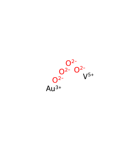 [Au+3].[O-2].[O-2].[O-2].[O-2].[V+5]